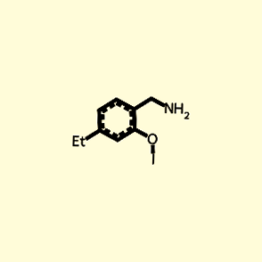 CCc1ccc(CN)c(OI)c1